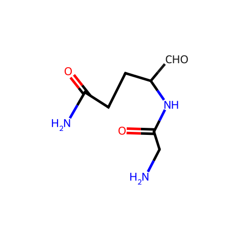 NCC(=O)NC(C=O)CCC(N)=O